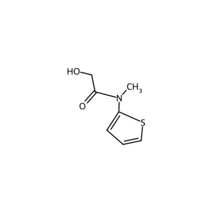 CN(C(=O)CO)c1cccs1